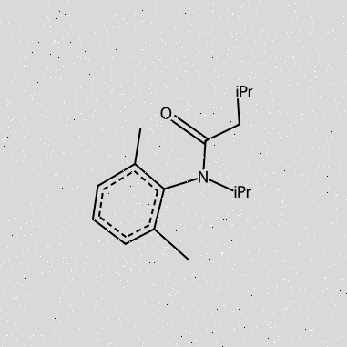 Cc1cccc(C)c1N(C(=O)CC(C)C)C(C)C